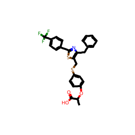 CC(Oc1ccc(SCc2sc(-c3ccc(C(F)(F)F)cc3)nc2Cc2ccccc2)cc1)C(=O)O